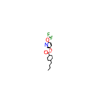 CCCCC1CCC(C(=O)Oc2ccc(OC(F)F)nc2)CC1